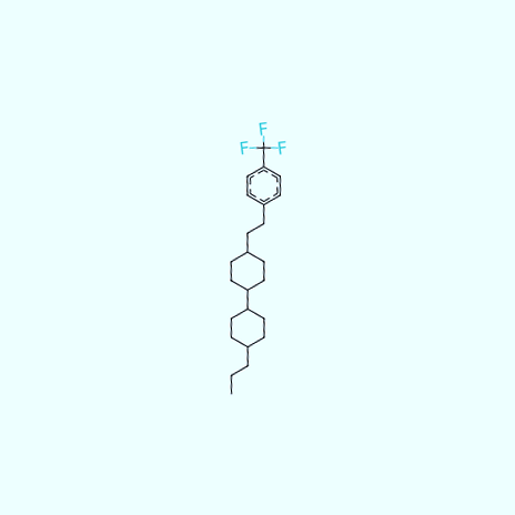 CCCC1CCC(C2CCC(CCc3ccc(C(F)(F)F)cc3)CC2)CC1